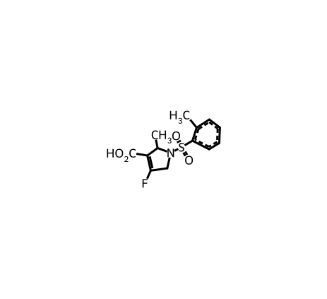 Cc1ccccc1S(=O)(=O)N1CC(F)=C(C(=O)O)C1C